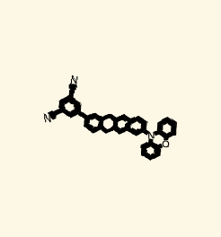 N#Cc1cc(C#N)cc(-c2ccc3c(c2)Cc2cc4ccc(N5c6ccccc6Oc6ccccc65)cc4cc2C3)c1